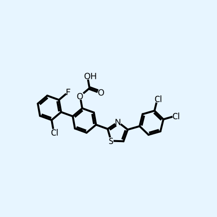 O=C(O)Oc1cc(-c2nc(-c3ccc(Cl)c(Cl)c3)cs2)ccc1-c1c(F)cccc1Cl